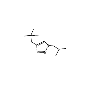 CC(C)Cn1cc(CC(C)(C)C)cn1